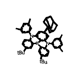 Cc1cc(C)cc(N2c3ccc(C(C)(C)C)cc3B3c4cc(C(C)(C)C)ccc4N(c4cc(C)cc(C)c4)c4cc(C56CC7CC(CC(C7)C5)C6)cc2c43)c1